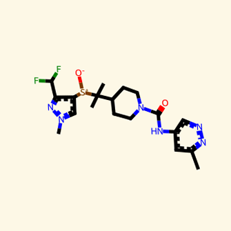 Cc1cc(NC(=O)N2CCC(C(C)(C)[S+]([O-])c3cn(C)nc3C(F)F)CC2)cnn1